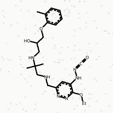 CCOc1nnc(CNCC(C)(C)NCC(O)COc2ccccc2C)cc1NN=C=O